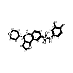 Cc1ccc(NS(=O)(=O)c2ccc3c(c2)C2OCCC2[C@H](C2CCOCC2)N3)cc1C